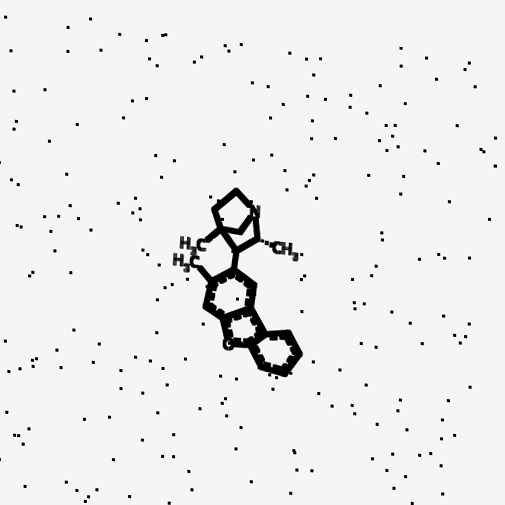 Cc1cc2oc3ccccc3c2cc1C1[C@@H](C)N2CCC1(C)C2